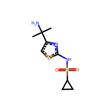 CC(C)(N)c1csc(NS(=O)(=O)C2CC2)n1